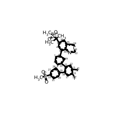 CC(C)(c1cc(-c2cccc(-c3cc(F)c(F)cc3-c3ccc(S(C)(=O)=O)cc3)c2)c2ncccc2c1)S(C)(=O)=O